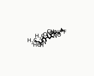 [2H][C@@](O)(CC=C)c1cc(C)c(-c2cc3cnc(NC(=O)[C@H]4C[C@H]4F)cc3n(C)c2=O)cn1